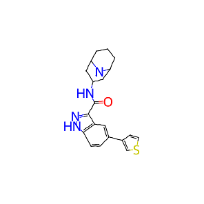 CN1C2CCCC1CC(NC(=O)c1n[nH]c3ccc(-c4ccsc4)cc13)C2